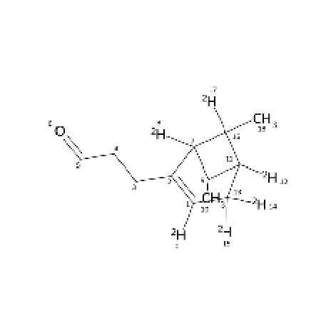 [2H]C1=C(CCC=O)C2([2H])C(C)C([2H])(C1([2H])[2H])C2([2H])C